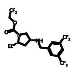 CC[C@@H]1C[C@H](NCc2cc(C(F)(F)F)cc(C(F)(F)F)c2)CN1C(=O)OCC(F)(F)F